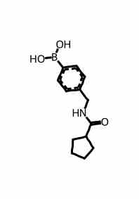 O=C(NCc1ccc(B(O)O)cc1)C1CCCC1